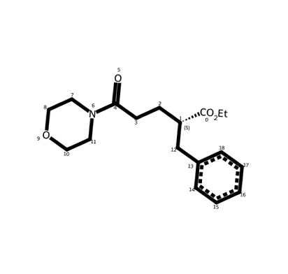 CCOC(=O)[C@@H](CCC(=O)N1CCOCC1)Cc1ccccc1